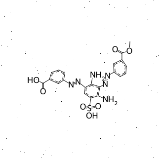 COC(=O)c1cccc(/N=N/c2c(N)c(/N=N/c3cccc(C(=O)O)c3)cc(S(=O)(=O)O)c2N)c1